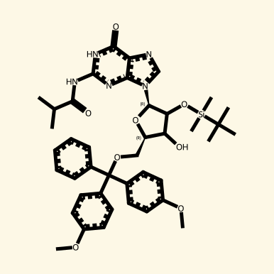 COc1ccc(C(OC[C@H]2O[C@@H](n3cnc4c(=O)[nH]c(NC(=O)C(C)C)nc43)C(O[Si](C)(C)C(C)(C)C)C2O)(c2ccccc2)c2ccc(OC)cc2)cc1